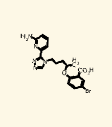 CC(CCCn1cnnc1-c1cccc(N)n1)Oc1ccc(Br)cc1C(=O)O